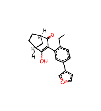 CCc1ccc(-c2ccoc2)cc1C1=C(O)[C@H]2CC[C@H](C2)C1=O